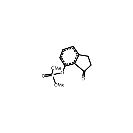 COP(=O)(OC)Oc1cccc2c1C(=O)CC2